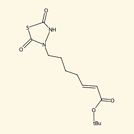 CC(C)(C)OC(=O)C=CCCCCn1[nH]c(=O)sc1=O